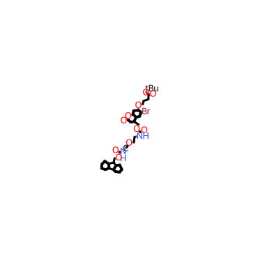 CC(C)(C)OC(=O)CCCOc1cc2oc(=O)cc(COC(=O)NCCOCCNC(=O)OCC3c4ccccc4-c4ccccc43)c2cc1Br